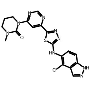 CN1CCCN(c2cc(-c3nnc(Nc4ccc5[nH]ncc5c4Cl)s3)ncn2)C1=O